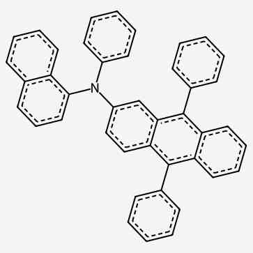 c1ccc(-c2c3ccccc3c(-c3ccccc3)c3cc(N(c4ccccc4)c4cccc5ccccc45)ccc23)cc1